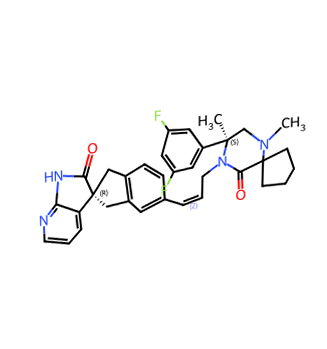 CN1C[C@](C)(c2cc(F)cc(F)c2)N(C/C=C\c2ccc3c(c2)C[C@@]2(C3)C(=O)Nc3ncccc32)C(=O)C12CCCC2